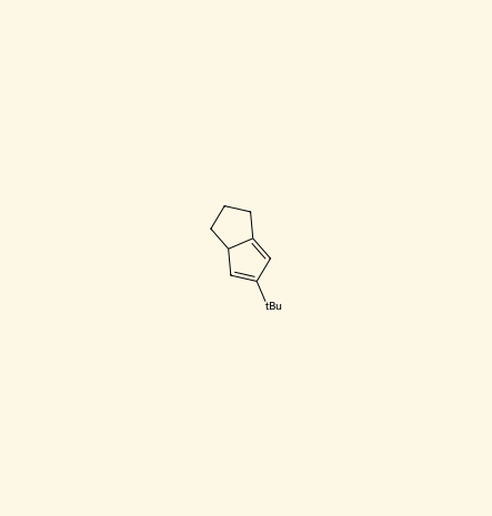 CC(C)(C)C1=CC2CCCC2=C1